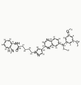 [CH2]CN(c1cc(OC)cc(OC)c1)c1ccc2ncc(-c3cnn(CCCCC(=O)Nc4ccccc4N)c3)nc2c1